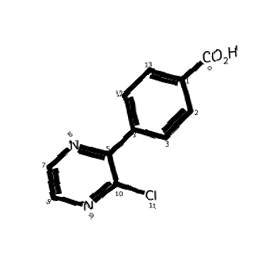 O=C(O)c1ccc(-c2nccnc2Cl)cc1